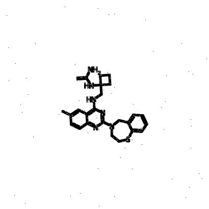 C=C(N)NC1(CNc2nc(N3CCSc4ccccc4C3)nc3ccc(C)cc23)CCC1